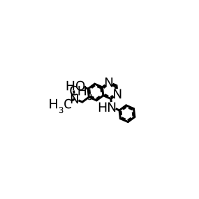 CN(C)Cc1cc2c(Nc3ccccc3)ncnc2cc1O